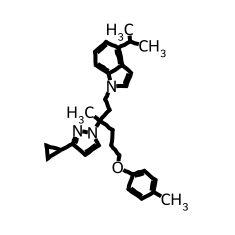 Cc1ccc(OCCCC(C)(CCn2ccc3c(C(C)C)cccc32)n2ccc(C3CC3)n2)cc1